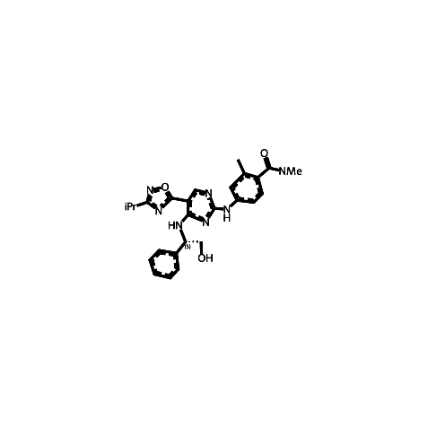 CNC(=O)c1ccc(Nc2ncc(-c3nc(C(C)C)no3)c(N[C@H](CO)c3ccccc3)n2)cc1C